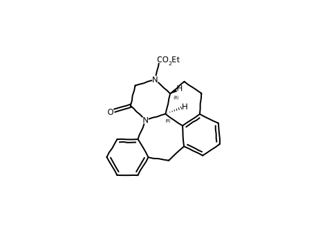 CCOC(=O)N1CC(=O)N2c3ccccc3Cc3cccc4c3[C@@H]2[C@H]1CC4